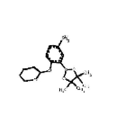 CC1(C)OB(c2cc([SiH3])ccc2OC2CCCCO2)OC1(C)C